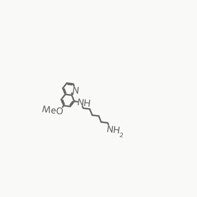 COc1cc(NCCCCCCN)c2ncccc2c1